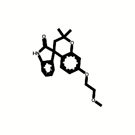 COCCOc1ccc2c(c1)OC(C)(C)CC21C(=O)Nc2ccccc21